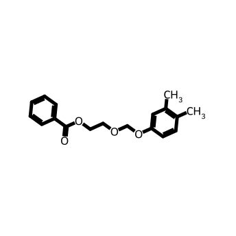 Cc1ccc(OCOCCOC(=O)c2ccccc2)cc1C